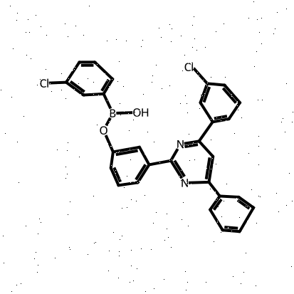 OB(Oc1cccc(-c2nc(-c3ccccc3)cc(-c3cccc(Cl)c3)n2)c1)c1cccc(Cl)c1